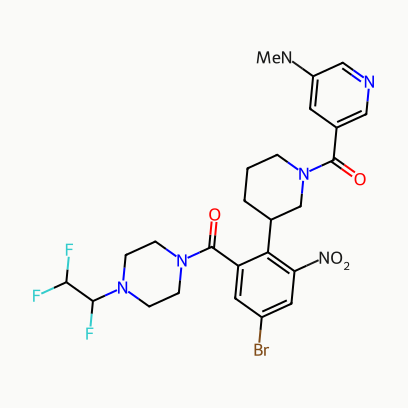 CNc1cncc(C(=O)N2CCCC(c3c(C(=O)N4CCN(C(F)C(F)F)CC4)cc(Br)cc3[N+](=O)[O-])C2)c1